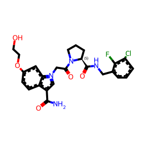 NC(=O)c1cn(CC(=O)N2CCC[C@H]2C(=O)NCc2cccc(Cl)c2F)c2cc(OCCO)ccc12